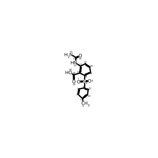 Cc1ccc(S(=O)(=O)c2cccc(NC(N)=O)c2C(=O)O)cc1